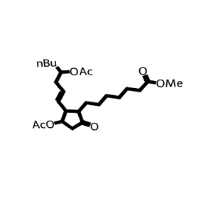 CCCCC(CC=CC1C(OC(C)=O)CC(=O)C1CCCCCCC(=O)OC)OC(C)=O